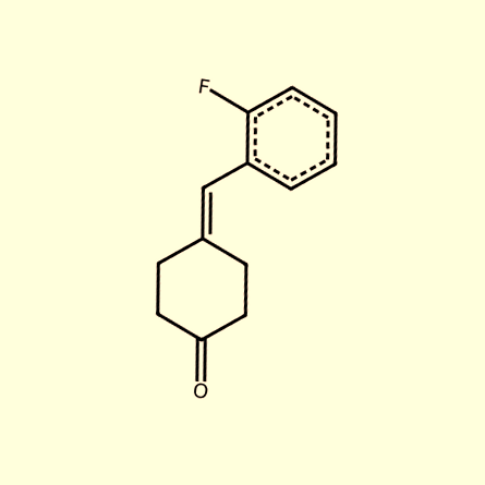 O=C1CCC(=Cc2ccccc2F)CC1